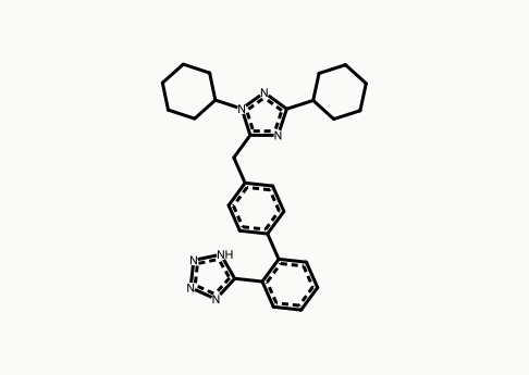 c1ccc(-c2nnn[nH]2)c(-c2ccc(Cc3nc(C4CCCCC4)nn3C3CCCCC3)cc2)c1